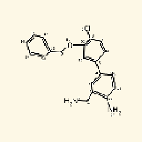 NCc1cc(-c2ccc(Cl)c(OCc3ccccc3)c2)[c]cc1N